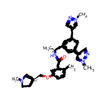 Cc1ccc(OC[C@H]2CCN(C)C2)cc1C(=O)N[C@H](C)c1cc(-c2cnn(C)c2)cc(-c2cnn(C)c2)c1